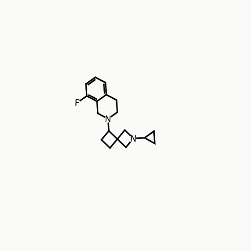 Fc1cccc2c1CN(C1CCC13CN(C1CC1)C3)CC2